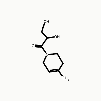 CC1=CCN(C(=O)C(O)CO)CC1